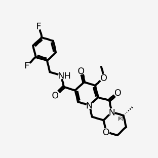 COc1c2n(cc(C(=O)NCc3ccc(F)cc3F)c1=O)CC1OCC[C@@H](C)N1C2=O